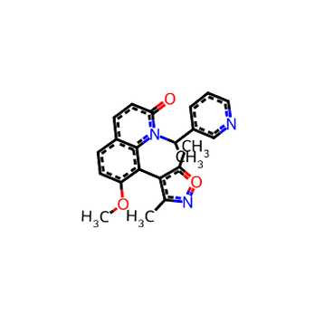 COc1ccc2ccc(=O)n(C(C)c3cccnc3)c2c1-c1c(C)noc1C